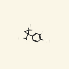 Cc1ccc(C2(C(=O)O)CC2(Cl)Cl)cc1C